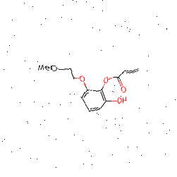 C=CC(=O)Oc1c(O)cccc1OCCOC